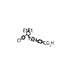 CCC1(CC)CCC(CN2CCN(c3ccc(C(=O)O)cc3)CC2)C(c2ccc(Cl)cc2)C1